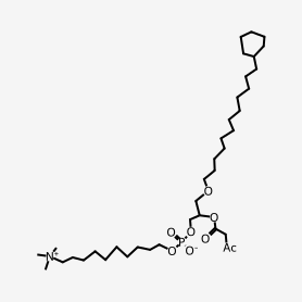 CC(=O)CC(=O)OC(COCCCCCCCCCCCCC1CCCCC1)COP(=O)([O-])OCCCCCCCCCC[N+](C)(C)C